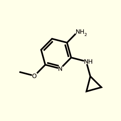 COc1ccc(N)c(NC2CC2)n1